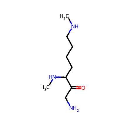 CNCCCCC(NC)C(=O)CN